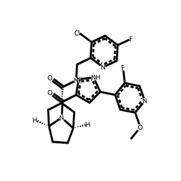 COc1cc(-c2cc(C(=O)N3[C@@H]4CC[C@H]3C[C@H](C(=O)NCc3ncc(F)cc3Cl)C4)n[nH]2)c(F)cn1